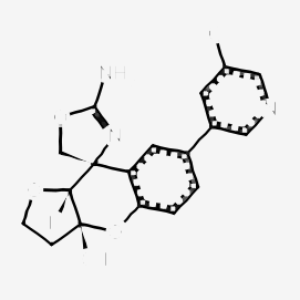 C[C@@]12CCO[C@@H]1[C@@]1(COC(N)=N1)c1cc(-c3cncc(Cl)c3)ccc1O2